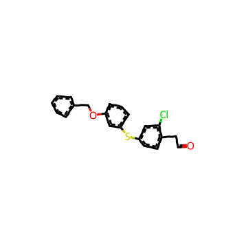 O=CCc1ccc(Sc2cccc(OCc3ccccc3)c2)cc1Cl